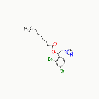 CCCCCCCC(=O)OC(Cn1ccnc1)c1ccc(Br)cc1Br